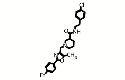 CCc1ccc(-c2nc(CN3CCCC(C(=O)NCCc4ccc(Cl)cc4)C3)c(C)o2)cc1